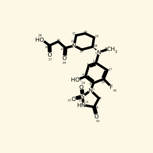 CN(c1cc(O)c(N2CC(=O)NS2(=O)=O)c(F)c1)[C@H]1CCCN(C(=O)CC(=O)O)C1